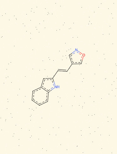 C(=Cc1cc2ccccc2[nH]1)c1cnoc1